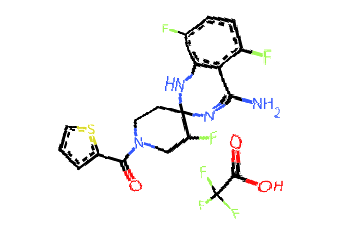 NC1=NC2(CCN(C(=O)c3cccs3)CC2F)Nc2c(F)ccc(F)c21.O=C(O)C(F)(F)F